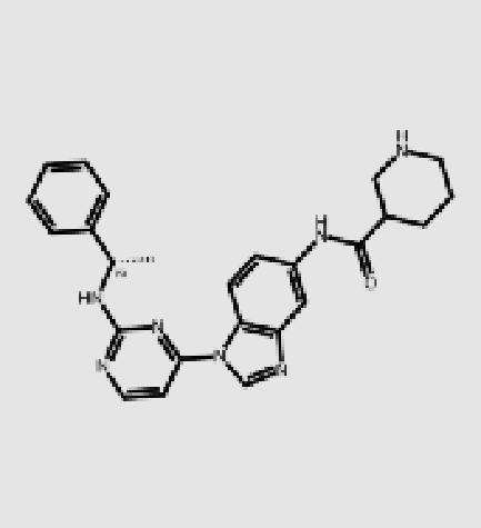 C[C@H](Nc1nccc(-n2cnc3cc(NC(=O)C4CCCNC4)ccc32)n1)c1ccccc1